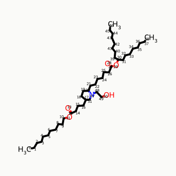 CCCCCCCCCCCOC(=O)CCCC1CCC(CCCCCCC(=O)OC(CCCCCCCC)CCCCCCCC)N(CCO)C1